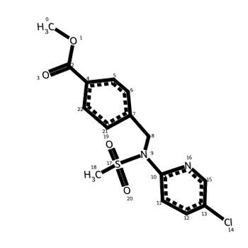 COC(=O)c1ccc(CN(c2ccc(Cl)cn2)S(C)(=O)=O)cc1